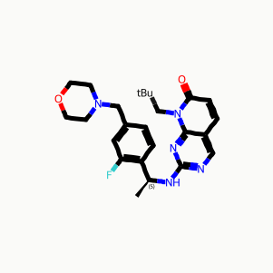 C[C@H](Nc1ncc2ccc(=O)n(CC(C)(C)C)c2n1)c1ccc(CN2CCOCC2)cc1F